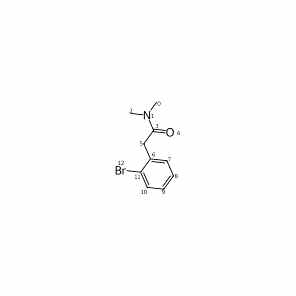 CN(C)C(=O)Cc1ccccc1Br